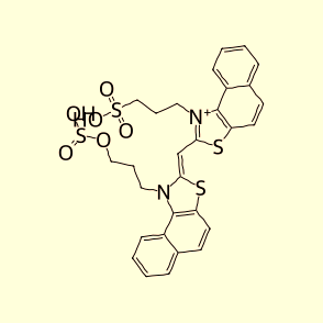 O=S(O)OCCCN1C(=Cc2sc3ccc4ccccc4c3[n+]2CCCS(=O)(=O)O)Sc2ccc3ccccc3c21